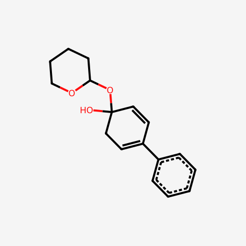 OC1(OC2CCCCO2)C=CC(c2ccccc2)=CC1